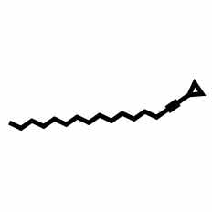 CCCCCCCCCCCCCCC#CC1CC1